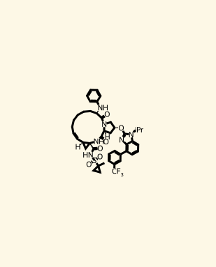 CC(C)n1c(O[C@@H]2C[C@H]3C(=O)N[C@]4(C(=O)NS(=O)(=O)C5(C)CC5)C[C@H]4/C=C\CCCCC[C@H](Nc4ccccc4)C(=O)N3C2)nc2c(-c3cccc(C(F)(F)F)c3)cccc21